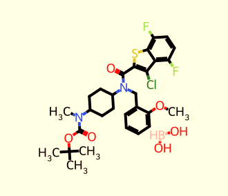 COc1ccccc1CN(C(=O)c1sc2c(F)ccc(F)c2c1Cl)C1CCC(N(C)C(=O)OC(C)(C)C)CC1.OBO